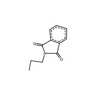 [CH2]CCN1C(=O)c2ccccc2C1=O